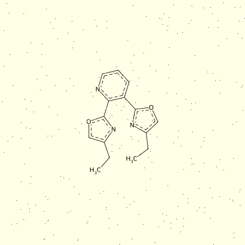 CCc1coc(-c2cccnc2-c2nc(CC)co2)n1